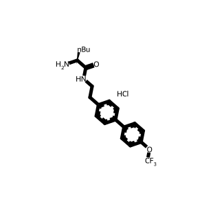 CCCC[C@H](N)C(=O)NCCc1ccc(-c2ccc(OC(F)(F)F)cc2)cc1.Cl